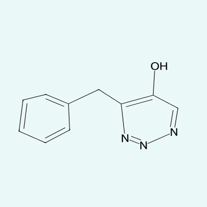 Oc1cnnnc1Cc1ccccc1